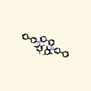 CC1=C[C@@H](C)CC(C)=C1N(c1ccc(-c2ccccc2)cc1)c1cccc([C@@H]2C=CC=C(N(c3ccc(-c4ccccc4)cc3)c3c(C)cc(C)cc3C)C2)c1